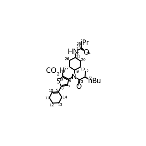 CCCCC(C)C(=O)N(c1cc(C2=CCCCC2)sc1C(=O)O)C1CCC(NC(=O)C(C)C)CC1